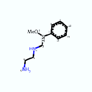 CO[SiH](CNCCN)c1ccccc1